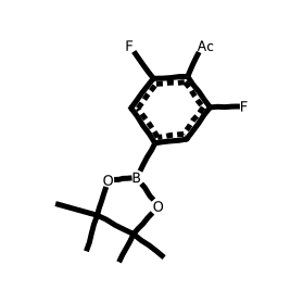 CC(=O)c1c(F)cc(B2OC(C)(C)C(C)(C)O2)cc1F